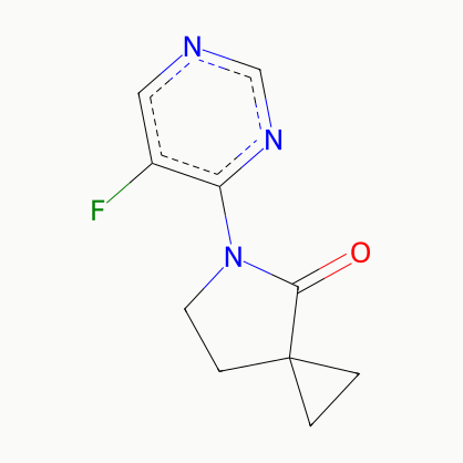 O=C1N(c2ncncc2F)CCC12CC2